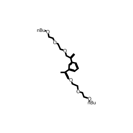 C=C(COCCOCCOCCCC)c1cccc(/C(C)=C\OCCOCCOCCCC)c1